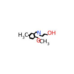 COCc1ccc(C)cc1/C=N\C/C=C/CO